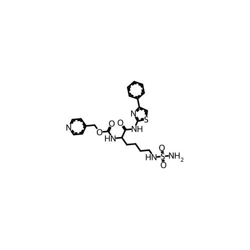 NS(=O)(=O)NCCCCC(NC(=O)OCc1ccncc1)C(=O)Nc1nc(-c2ccccc2)cs1